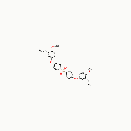 C=CCc1cc(Oc2ccc(S(=O)(=O)c3ccc(Oc4ccc(OC#N)c(CC=C)c4)cc3)cc2)ccc1OC#N